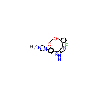 CN1CCN(c2ccc3cc2OCCOCc2cccc(F)c2-c2cc4c-3n[nH]c4cn2)CC1